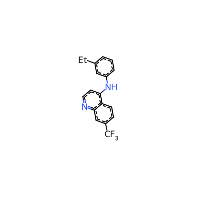 CCc1cccc(Nc2ccnc3cc(C(F)(F)F)ccc23)c1